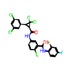 O=C(Nc1ccc(F)cc1Br)c1cc(NC(=O)C2C(c3cc(Cl)cc(Cl)c3)C2(Cl)Cl)ccc1Cl